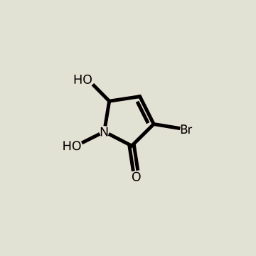 O=C1C(Br)=CC(O)N1O